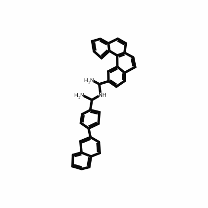 NC(NC(N)c1ccc2ccc3ccc4ccccc4c3c2c1)c1ccc(-c2ccc3ccccc3c2)cc1